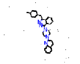 CC1C=CC(CC2=NN=C(N3CCN(c4ccc5ccccc5n4)CC3)C3CC=CC=C23)=CC1